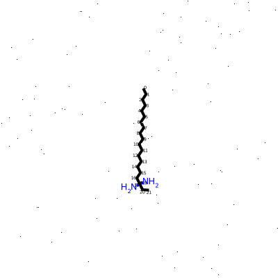 CCCCCCCCCCCCCCCCCC(N)(N)CC